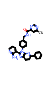 N#Cc1cc(C(=O)NCc2ccc(-n3c(-c4cccnc4N)nc4ccc(-c5ccccc5)nc43)cc2)ncn1